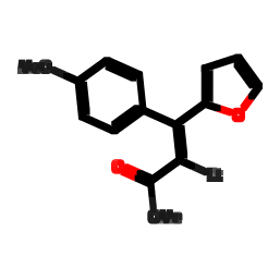 CCC(C(=O)OC)=C(c1ccc(OC)cc1)c1ccco1